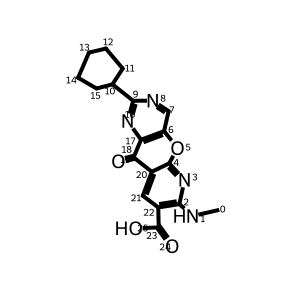 CNc1nc2oc3cnc(C4CCCCC4)nc3c(=O)c2cc1C(=O)O